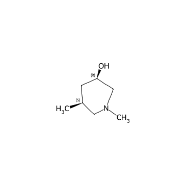 C[C@H]1C[C@@H](O)CN(C)C1